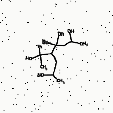 CCC(C)C(O)(CC(C)O)C(CC(C)O)C(C)(O)CC